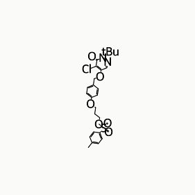 Cc1ccc(S(=O)(=O)OCCCOc2ccc(COc3cnn(C(C)(C)C)c(=O)c3Cl)cc2)cc1